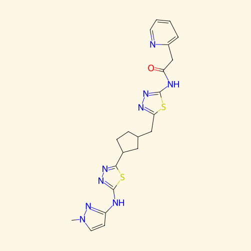 Cn1ccc(Nc2nnc(C3CCC(Cc4nnc(NC(=O)Cc5ccccn5)s4)C3)s2)n1